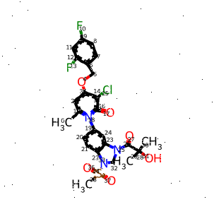 Cc1cc(OCc2ccc(F)cc2F)c(Cl)c(=O)n1-c1ccc2c(c1)N(C(=O)C(C)(C)O)CN2S(C)(=O)=O